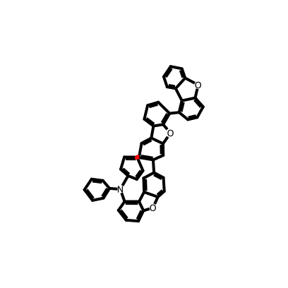 c1ccc(N(c2ccccc2)c2cccc3oc4ccc(-c5ccc6c(c5)oc5c(-c7cccc8oc9ccccc9c78)cccc56)cc4c23)cc1